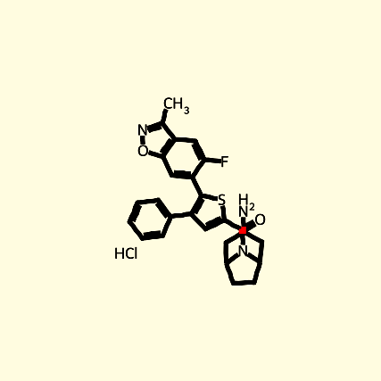 Cc1noc2cc(-c3sc(C(=O)N4C5CCC4CC(N)C5)cc3-c3ccccc3)c(F)cc12.Cl